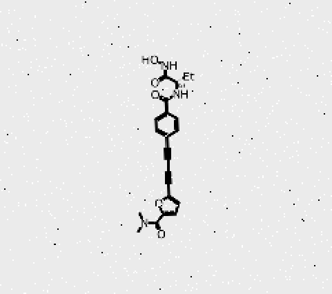 CC[C@H](NC(=O)c1ccc(C#CC#Cc2ccc(C(=O)N(C)C)o2)cc1)C(=O)NO